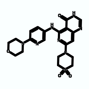 O=c1[nH]cnc2cc(N3CCS(=O)(=O)CC3)nc(Nc3ccc(N4CCOCC4)nc3)c12